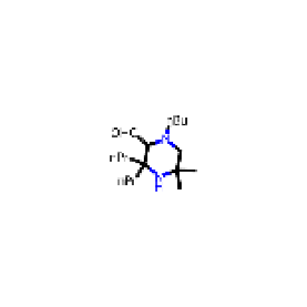 CCCCN1CC(C)(C)NC(CCC)(CCC)C1C=O